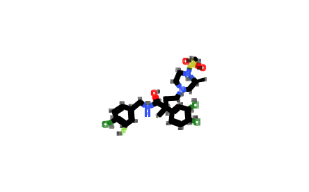 C[C@H]1CN(CCC(C)(C(=O)NCc2ccc(Cl)c(F)c2)c2ccc(Cl)c(Cl)c2)CCN1S(C)(=O)=O